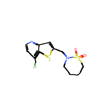 O=S1(=O)CCCCN1Cc1cc2nccc(Cl)c2s1